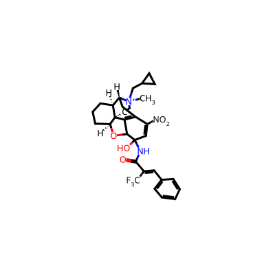 C[N+]1(CC2CC2)CC[C@@]23C4=C5C[C@@H]1[C@@H]2CCC[C@@H]3OC4C(O)(NC(=O)C(=Cc1ccccc1)C(F)(F)F)C=C5[N+](=O)[O-]